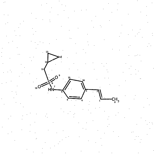 C/C=C/c1ccc(NS(=O)(=O)CC2CC2)cc1